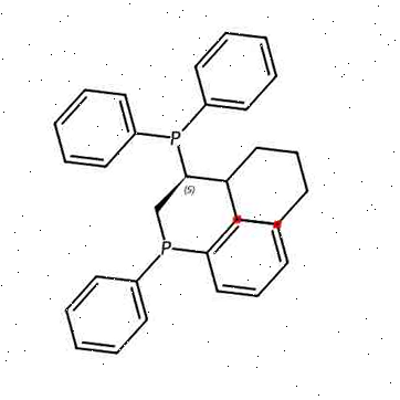 c1ccc(P(C[C@H](C2CCCCC2)P(c2ccccc2)c2ccccc2)c2ccccc2)cc1